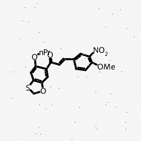 CCCOc1cc2c(cc1C(=O)C=Cc1ccc(OC)c([N+](=O)[O-])c1)OCS2